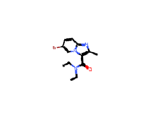 CCN(CC)C(=O)c1c(C)nc2ccc(Br)cn12